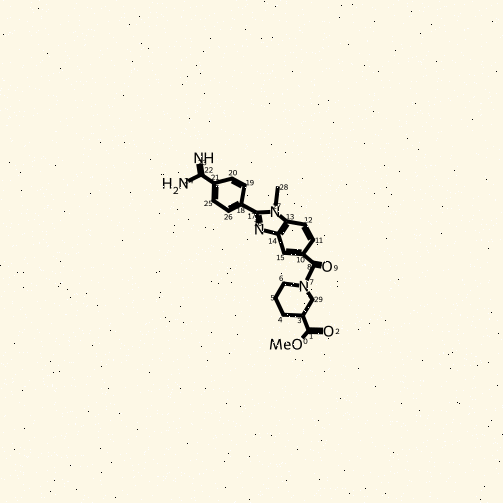 COC(=O)C1CCCN(C(=O)c2ccc3c(c2)nc(-c2ccc(C(=N)N)cc2)n3C)C1